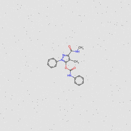 CNC(=O)c1nn(-c2ccccc2)c(OC(=O)Nc2ccccc2)c1C